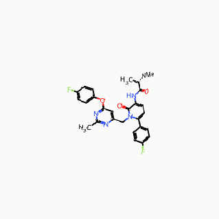 CN[C@@H](C)C(=O)Nc1ccc(-c2ccc(F)cc2)n(Cc2cc(Oc3ccc(F)cc3)nc(C)n2)c1=O